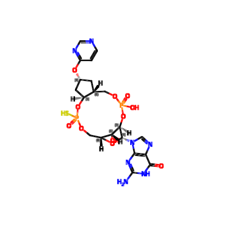 Nc1nc2c(ncn2[C@@H]2O[C@@H]3COP(=O)(S)O[C@H]4C[C@H](Oc5ccncn5)C[C@@H]4COP(=O)(O)O[C@@H]2[C@@H]3O)c(=O)[nH]1